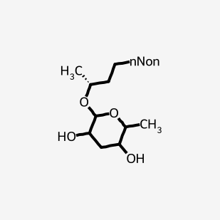 CCCCCCCCCCC[C@@H](C)OC1OC(C)C(O)CC1O